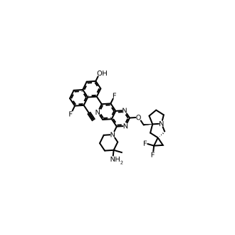 C#Cc1c(F)ccc2cc(O)cc(-c3ncc4c(N5CCCC(C)(N)C5)nc(OC[C@@]56CCCN5C[C@@]5(CC5(F)F)C6)nc4c3F)c12